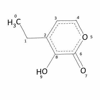 CCc1ccoc(=O)c1O